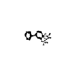 C[Si](C)(C)OC1(O[Si](C)(C)C)C=CC(c2ccccc2)C=C1